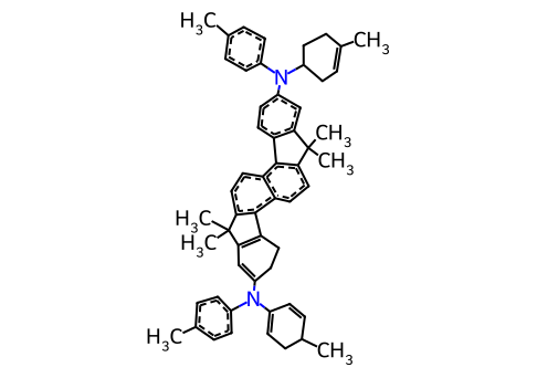 CC1=CCC(N(c2ccc(C)cc2)c2ccc3c(c2)C(C)(C)c2ccc4c5c(ccc4c2-3)C(C)(C)C2=C5CCC(N(C3=CCC(C)C=C3)c3ccc(C)cc3)=C2)CC1